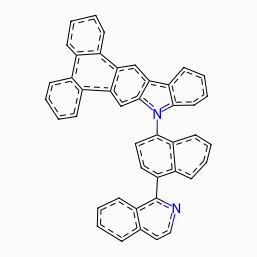 c1ccc2c(-c3ccc(-n4c5ccccc5c5cc6c7ccccc7c7ccccc7c6cc54)c4ccccc34)nccc2c1